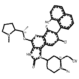 CC(=O)N1CCC(n2c(=O)[nH]c3c(O[C@@H](C)C4CCCN4C)nc4c(F)c(-c5cccc6cccc(C#N)c56)c(Cl)cc4c32)C[C@H]1CC#N